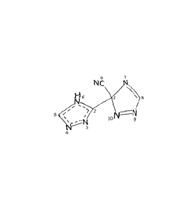 N#CC1(c2nnc[nH]2)N=CN=N1